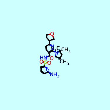 C[C@@H]1CN(c2nc(C3CCOC3)ccc2C(=O)NS(=O)(=O)c2cccc(N)n2)C(C)(C)C1